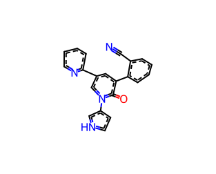 N#Cc1ccccc1-c1cc(-c2ccccn2)cn(-c2cc[nH]c2)c1=O